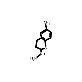 Cc1ccc2c(c1)CCC(NN)S2